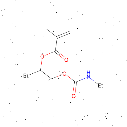 C=C(C)C(=O)OC(CC)COC(=O)NCC